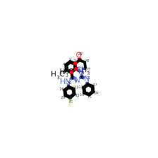 Cc1cccc(C)c1/C(=N\C(=N/c1ccccc1)N1CCC(=O)CC1C)Nc1ccc(F)cc1